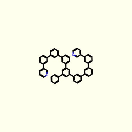 c1ccc(-c2cc(-c3cccc(-c4cccc(-c5cccc(-c6cccnc6)c5)c4)c3)cc(-c3cccc(-c4cccc(-c5cccc(-c6cccnc6)c5)c4)c3)c2)cc1